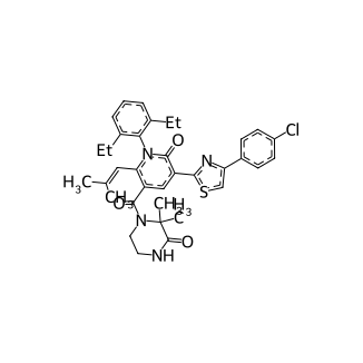 CCc1cccc(CC)c1-n1c(C=C(C)C)c(C(=O)N2CCNC(=O)C2(C)C)cc(-c2nc(-c3ccc(Cl)cc3)cs2)c1=O